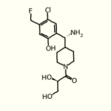 N[C@@H](c1cc(Cl)c(CF)cc1O)C1CCN(C(=O)[C@H](O)CO)CC1